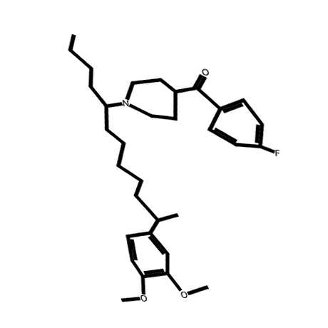 CCCCC(CCCCCC(C)c1ccc(OC)c(OC)c1)N1CCC(C(=O)c2ccc(F)cc2)CC1